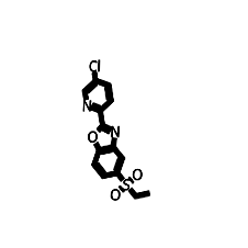 CCS(=O)(=O)c1ccc2oc(-c3ccc(Cl)cn3)nc2c1